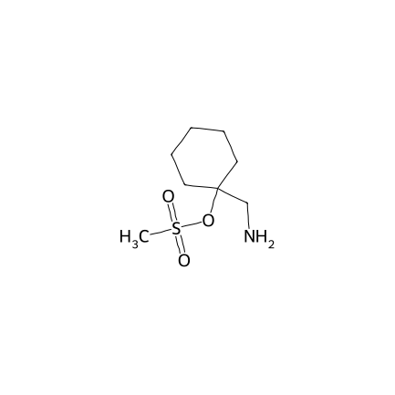 CS(=O)(=O)OC1(CN)CCCCC1